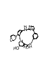 O=C1NCc2cccc(c2)-c2ccnc(n2)Nc2ccc(N3CCOCC3)c(c2)CN2C[C@@H](O)C[C@@H]12